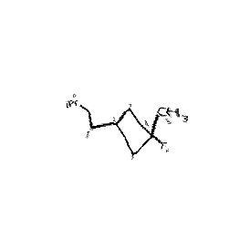 CC(C)CC1CC(C)(F)C1